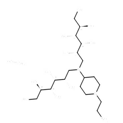 Cl.Cl.Cl.NCCN1CCC(N(C[C@H](O)[C@@H](O)[C@H](O)[C@H](O)CO)C[C@H](O)[C@@H](O)[C@H](O)[C@H](O)CO)CC1